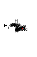 CN1CCN(CC(=O)Nc2cc(COc3cccnc3N3CCN(C(=O)Nc4cc(Cl)cc(Cl)c4)CC3)ccn2)CC1